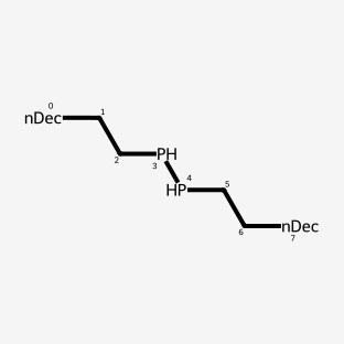 CCCCCCCCCCCCPPCCCCCCCCCCCC